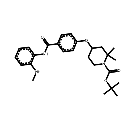 CNc1ccccc1NC(=O)c1ccc(OC2CCN(C(=O)OC(C)(C)C)C(C)(C)C2)cc1